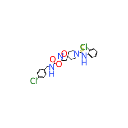 O=C(NCc1ccc(Cl)cc1)OC1=NOC2(CCN(C(=S)Nc3ccccc3Cl)CC2)C1